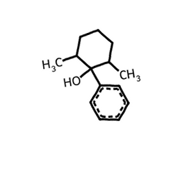 CC1CCCC(C)C1(O)c1ccccc1